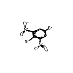 O=[N+]([O-])c1cc(Br)cc([N+](=O)[O-])c1Br